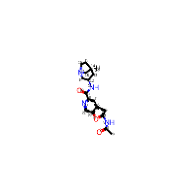 CC(=O)Nc1cc2cc(C(=O)N[C@@H]3C[C@@H]4CCN(C4)C3)ncc2o1